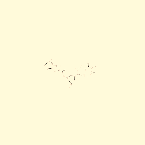 Cc1ccc(F)c2c1NC(C(=O)Nc1cc(F)cc(N3CCN(C(=O)C(C)N(C)C)CC3)c1)C2